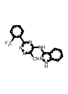 N#Cc1nnc(-c2ccccc2C(F)(F)F)nc1Nc1n[nH]c2ccccc12